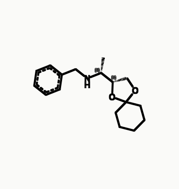 C[C@@H](NCc1ccccc1)[C@@H]1COC2(CCCCC2)O1